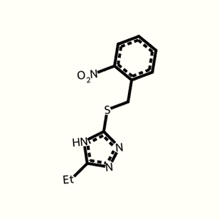 CCc1nnc(SCc2ccccc2[N+](=O)[O-])[nH]1